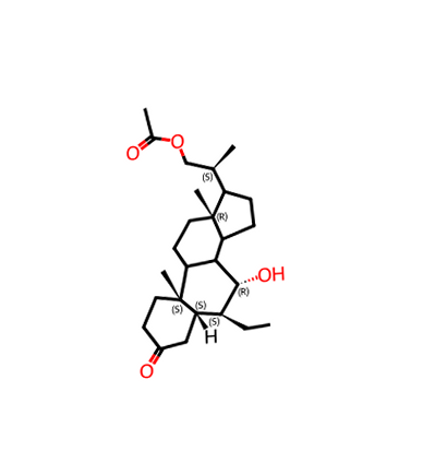 CC[C@@H]1[C@@H](O)C2C3CCC([C@H](C)COC(C)=O)[C@@]3(C)CCC2[C@@]2(C)CCC(=O)C[C@@H]12